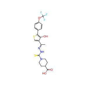 C/C(=N\NC(=S)N1CCC(C(=O)O)CC1)c1csc(-c2ccc(OC(F)(F)F)cc2)c1O